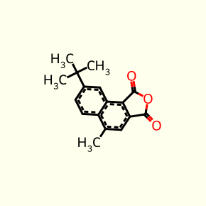 Cc1cc2c(c3cc(C(C)(C)C)ccc13)C(=O)OC2=O